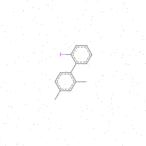 Cc1ccc(-c2ccccc2I)c(C)c1